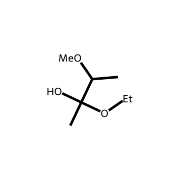 CCOC(C)(O)C(C)OC